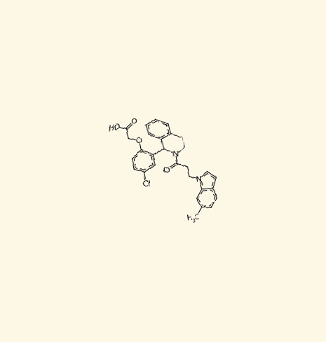 Cc1ccc2ccn(CCC(=O)N3CCc4ccccc4C3c3cc(Cl)ccc3OCC(=O)O)c2c1